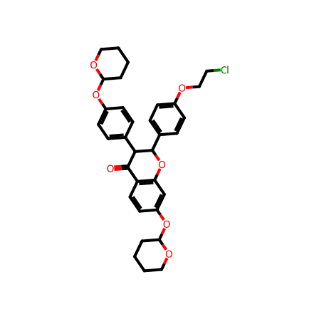 O=C1c2ccc(OC3CCCCO3)cc2OC(c2ccc(OCCCl)cc2)C1c1ccc(OC2CCCCO2)cc1